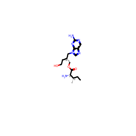 CC[C@H](C)[C@H](N)C(=O)OC[C@H](CCO)Cn1cnc2cnc(N)nc21